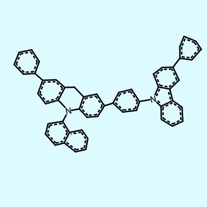 c1ccc(-c2ccc3c(c2)Cc2cc(-c4ccc(-n5c6ccccc6c6cc(-c7ccccc7)ccc65)cc4)ccc2N3c2cccc3ccccc23)cc1